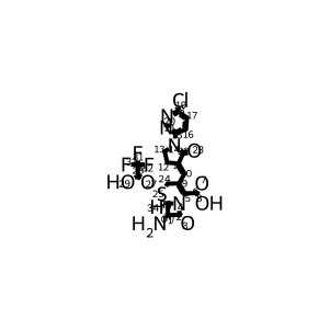 N[C@@H]1C(=O)N2C(C(=O)O)=C(C=C3CCN(c4ccc(Cl)nn4)C3=O)CS[C@H]12.O=C(O)C(F)(F)F